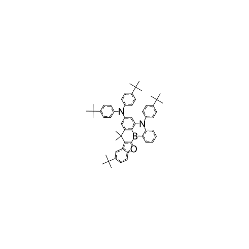 CC(C)(C)c1ccc(N(c2ccc(C(C)(C)C)cc2)c2cc3c4c(c2)C(C)(C)c2c(oc5ccc(C(C)(C)C)cc25)B4c2ccccc2N3c2ccc(C(C)(C)C)cc2)cc1